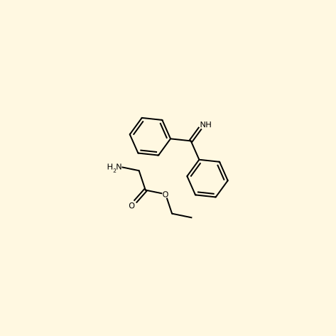 CCOC(=O)CN.N=C(c1ccccc1)c1ccccc1